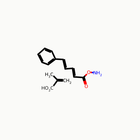 C=C(C)C(=O)O.NOC(=O)C=CC=Cc1ccccc1